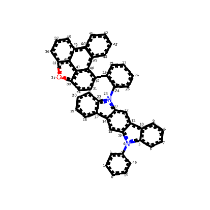 c1ccc(-n2c3ccccc3c3cc4c(cc32)c2ccccc2n4-c2ccccc2-c2ccc3oc4cccc5c6ccccc6c2c3c45)cc1